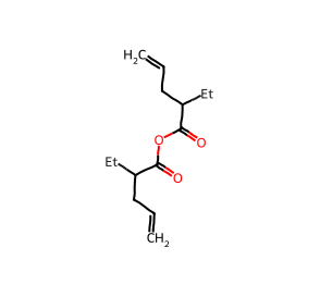 C=CCC(CC)C(=O)OC(=O)C(CC)CC=C